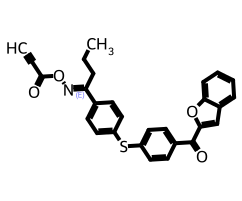 C#CC(=O)O/N=C(\CCC)c1ccc(Sc2ccc(C(=O)c3cc4ccccc4o3)cc2)cc1